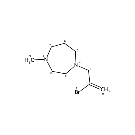 C=C(Br)CN1CCCN(C)CC1